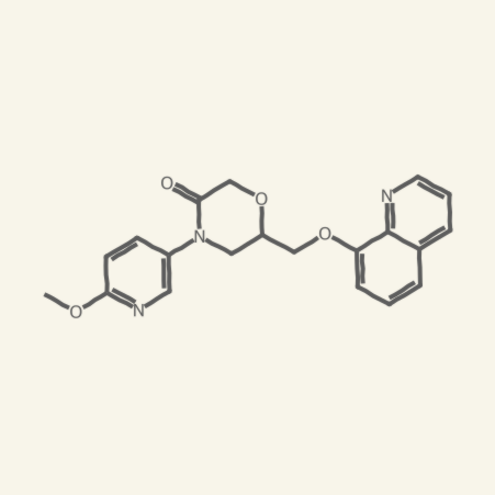 COc1ccc(N2CC(COc3cccc4cccnc34)OCC2=O)cn1